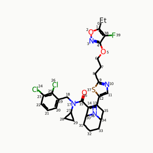 CCc1onc(OCCCc2ncc(C3=C(C(=O)N(Cc4cccc(Cl)c4Cl)C4CC4)C4CCCC(C3)N4)s2)c1F